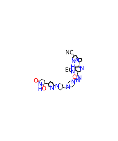 CCNc1cc(-c2ccc3cc(C#N)cnn23)ncc1-c1nnc(N2CCN(CC3CCN(c4ccc(C5CCC(=O)NC5=O)cn4)CC3)CC2)o1